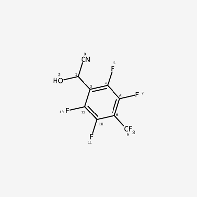 N#CC(O)c1c(F)c(F)c(C(F)(F)F)c(F)c1F